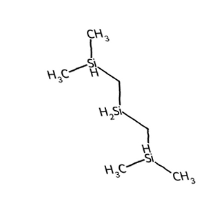 C[SiH](C)C[SiH2]C[SiH](C)C